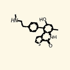 CNCCc1ccc(-c2c(O)cc(C)c3[nH]c(=O)c4sccc4c23)cc1